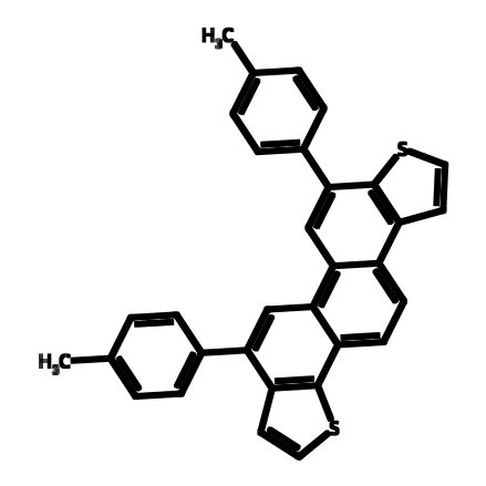 Cc1ccc(-c2cc3c4cc(-c5ccc(C)cc5)c5sccc5c4ccc3c3sccc23)cc1